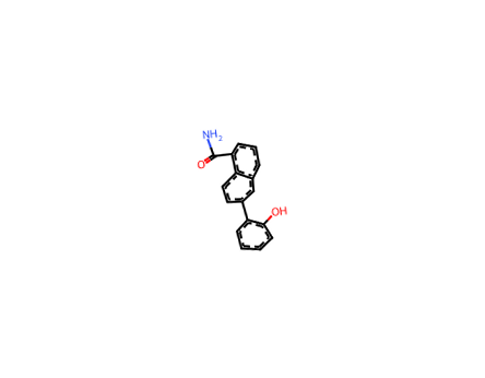 NC(=O)c1cccc2cc(-c3ccccc3O)ccc12